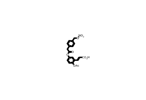 CC(=O)Oc1ccc(OC(=O)Cc2ccc(CO[N+](=O)[O-])cc2)cc1C=CC(=O)O